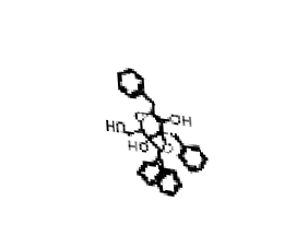 OC[C@H]1OC(Cc2ccccc2)=C(O)[C@@](Cc2ccccc2)(OCc2ccccc2)[C@@]1(O)Cc1ccccc1